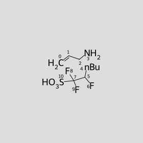 C=CCN.CCCCC(F)C(F)(F)S(=O)(=O)O